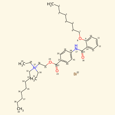 CCCCCCCCOc1ccccc1C(=O)Nc1ccc(C(=O)OCC[N+](CC)(CC)CCCCCCCC)cc1.[Br-]